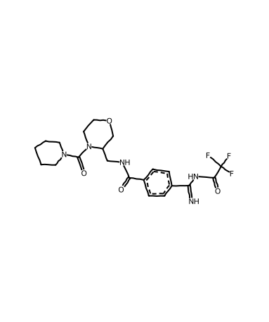 N=C(NC(=O)C(F)(F)F)c1ccc(C(=O)NCC2COCCN2C(=O)N2CCCCC2)cc1